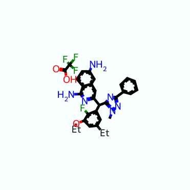 CCOc1cc(CC)cc(C(c2cc3cc(N)ccc3c(N)n2)c2nc(-c3ccccc3)nn2C)c1F.O=C(O)C(F)(F)F